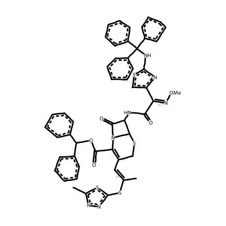 CO/N=C(/C(=O)NC1C(=O)N2C(C(=O)OC(c3ccccc3)c3ccccc3)=C(/C=C(\C)Sc3nnc(C)s3)CSC12)c1csc(NC(c2ccccc2)(c2ccccc2)c2ccccc2)n1